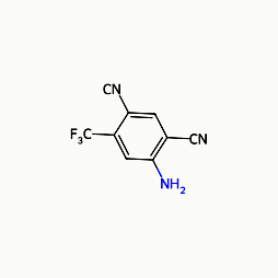 [C-]#[N+]c1cc(C#N)c(N)cc1C(F)(F)F